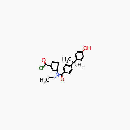 CCCN(C(=O)c1ccc(C(C)(C)c2ccc(O)cc2)cc1)c1cccc(C(=O)Cl)c1